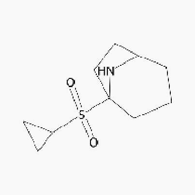 O=S(=O)(C1CC1)C12CCCC(CC1)N2